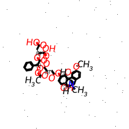 COc1ccc2c3c1O[C@H]1C(OC(=O)C[C@H](OC(C)=O)C(=O)O[C@H](C(=O)O[C@H](CC(=O)O)C(=O)O)c4ccccc4)=CC[C@@]4(O)[C@@H](C2)N(C)CC[C@]314